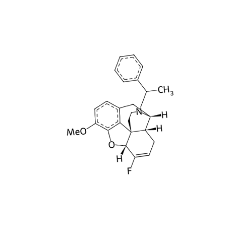 COc1ccc2c3c1O[C@H]1C(F)=CC[C@H]4[C@@H](C2)N(C(C)c2ccccc2)CC[C@]314